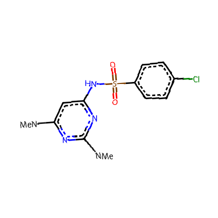 CNc1cc(NS(=O)(=O)c2ccc(Cl)cc2)nc(NC)n1